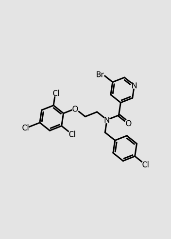 O=C(c1cncc(Br)c1)N(CCOc1c(Cl)cc(Cl)cc1Cl)Cc1ccc(Cl)cc1